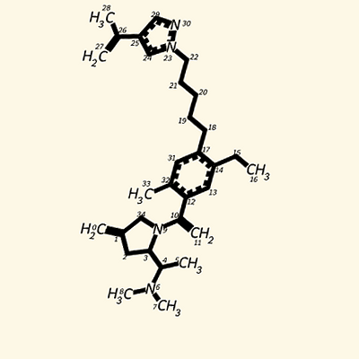 C=C1CC(C(C)N(C)C)N(C(=C)c2cc(CC)c(CCCCCn3cc(C(=C)C)cn3)cc2C)C1